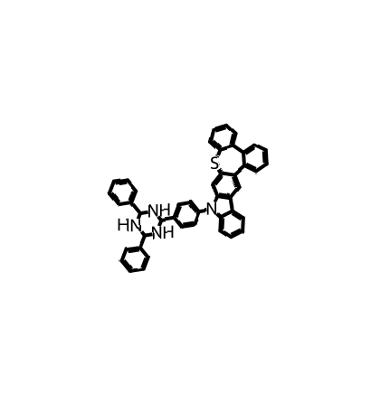 c1ccc(C2NC(c3ccccc3)NC(c3ccc(-n4c5ccccc5c5cc6c(cc54)Sc4ccccc4-c4ccccc4-6)cc3)N2)cc1